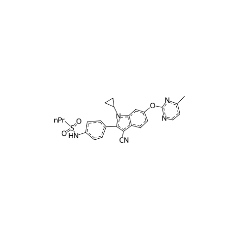 CCCS(=O)(=O)Nc1ccc(-c2c(C#N)c3ccc(Oc4nccc(C)n4)cc3n2C2CC2)cc1